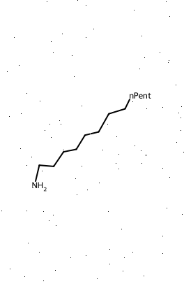 CCCCCCCCCC[CH]CCN